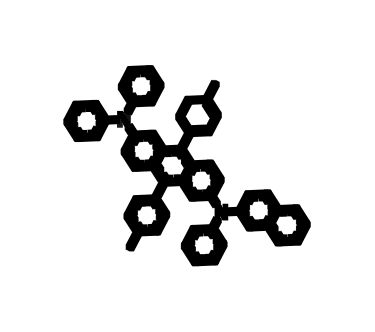 CC1=CC=C(c2c3cc(N(c4ccccc4)c4ccccc4)ccc3c(-c3ccc(C)cc3)c3cc(N(c4ccccc4)c4ccc5ccccc5c4)ccc23)CC1